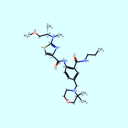 CCCNC(=O)c1cc(CN2CCOCC2(C)C)ccc1NC(=O)c1csc(N(C)[C@@H](C)COC)n1